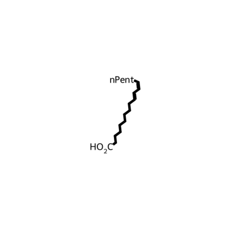 CCCCC/C=C\C=C\CCCCCCCCC(=O)O